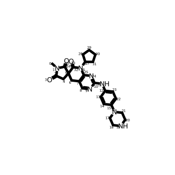 CN1C(=O)CC2(Cc3cnc(Nc4ccc(N5CCNCC5)cc4)nc3N(C3CCCC3)C2=O)C1=O